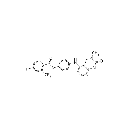 CN1Cc2c(Nc3ccc(NC(=O)c4ccc(F)cc4C(F)(F)F)cc3)ccnc2NC1=O